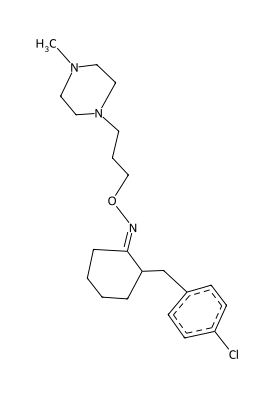 CN1CCN(CCCON=C2CCCCC2Cc2ccc(Cl)cc2)CC1